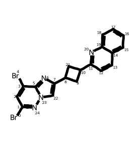 Brc1cc(Br)c2nc(C3CC(c4ccc5ccccc5n4)C3)cn2n1